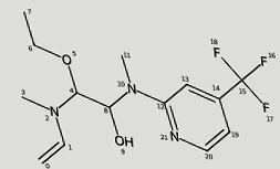 C=CN(C)C(OCC)C(O)N(C)c1cc(C(F)(F)F)ccn1